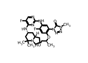 C[C@@H](CO)Oc1cc(F)c(Nc2ncc(F)c(N[C@@H]3C[C@@H]4CCCN4C(C)(C)C3)n2)cc1-n1nnn(C)c1=O